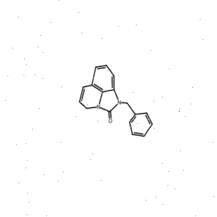 O=c1n(Cc2ccccc2)c2cccc3c2n1CC=C3